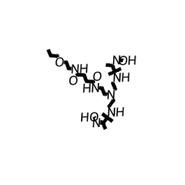 CCCOCCNC(=O)CCC(=O)NCCN(CCNC(C)(C)/C(C)=N\O)CCNC(C)(C)/C(C)=N\O